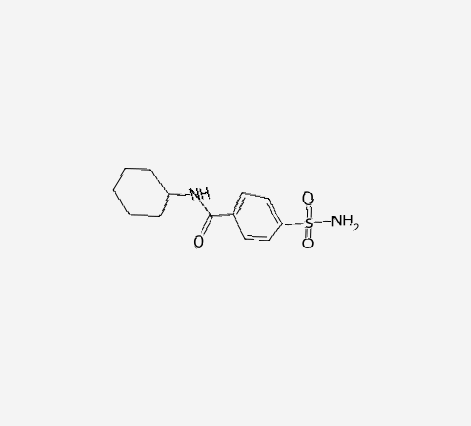 NS(=O)(=O)c1ccc(C(=O)NC2CCCCC2)cc1